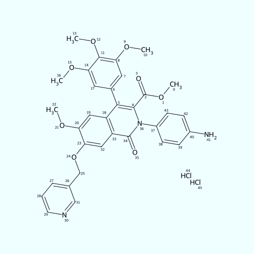 COC(=O)c1c(-c2cc(OC)c(OC)c(OC)c2)c2cc(OC)c(OCc3cccnc3)cc2c(=O)n1-c1ccc(N)cc1.Cl.Cl